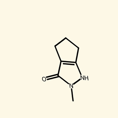 Cn1[nH]c2c(c1=O)CCC2